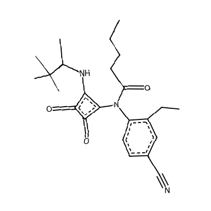 CCCCC(=O)N(c1ccc(C#N)cc1CC)c1c(NC(C)C(C)(C)C)c(=O)c1=O